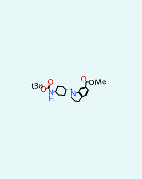 COC(=O)c1ccc2c(c1)N(C[C@H]1CC[C@H](NC(=O)OC(C)(C)C)CC1)CCC2